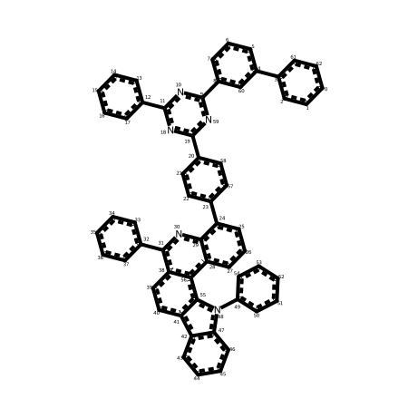 c1ccc(-c2cccc(-c3nc(-c4ccccc4)nc(-c4ccc(-c5cccc6c5nc(-c5ccccc5)c5ccc7c8ccccc8n(-c8ccccc8)c7c56)cc4)n3)c2)cc1